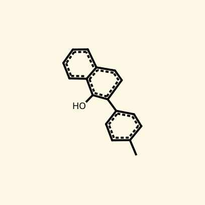 Cc1ccc(-c2ccc3ccccc3c2O)cc1